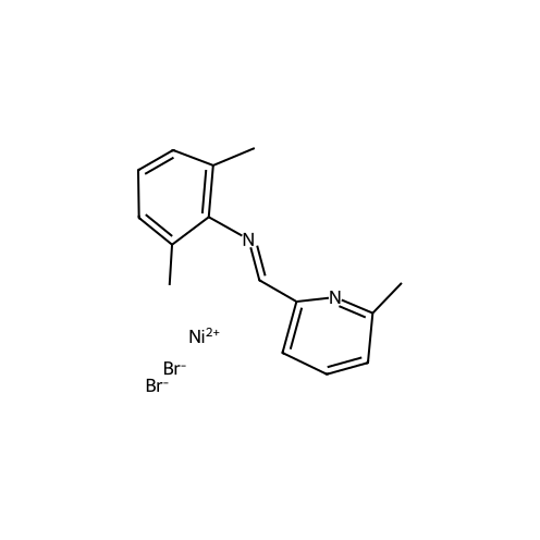 Cc1cccc(C=Nc2c(C)cccc2C)n1.[Br-].[Br-].[Ni+2]